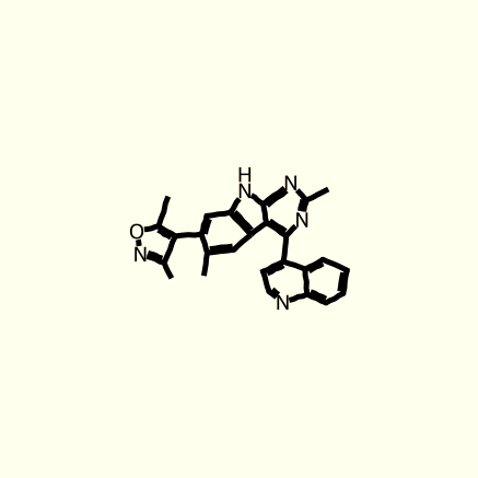 Cc1nc(-c2ccnc3ccccc23)c2c(n1)[nH]c1cc(-c3c(C)noc3C)c(C)cc12